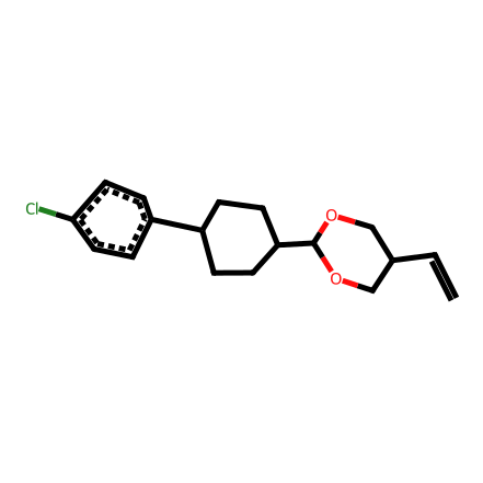 C=CC1COC(C2CCC(c3ccc(Cl)cc3)CC2)OC1